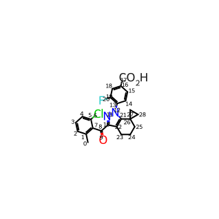 Cc1cccc(Cl)c1C(=O)c1nn(-c2ccc(C(=O)O)cc2F)c2c1CCCC21CC1